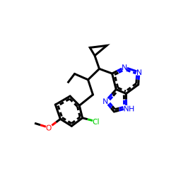 CCC(Cc1ccc(OC)cc1Cl)C(c1nncc2[nH]cnc12)C1CC1